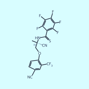 C[C@](C#N)(COc1ccc(C#N)cc1C(F)(F)F)NC(=S)c1c(F)c(F)c(F)c(F)c1F